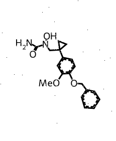 COc1cc(C2(CN(O)C(N)=O)CC2)ccc1OCc1ccccc1